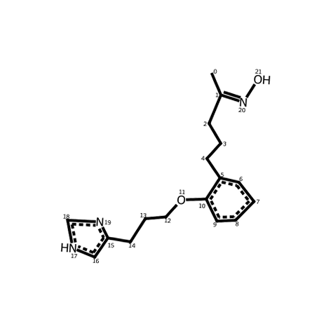 CC(CCCc1ccccc1OCCCc1c[nH]cn1)=NO